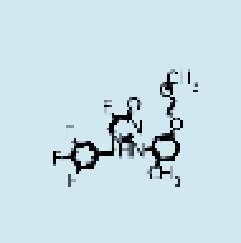 COCCOC1=CC(Nc2nc(=O)c(F)cn2Cc2cc(F)c(F)c(F)c2)=C(C)CC1